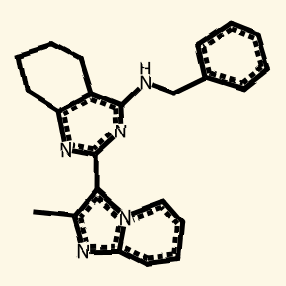 Cc1nc2ccccn2c1-c1nc2c(c(NCc3ccccc3)n1)CCCC2